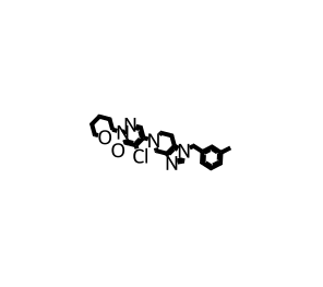 Cc1cccc(Cn2cnc3c2CCN(c2cnn(C4CCCCO4)c(=O)c2Cl)C3)c1